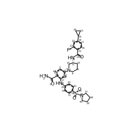 NC(=O)c1ncc(N2CCC[C@@H](NC(=O)c3ccc(C4CC4)cc3F)C2)nc1Nc1ccc(S(=O)(=O)N2CCCC2)cc1